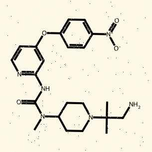 CN(C(=O)Nc1cc(Oc2ccc([N+](=O)[O-])cc2)ccn1)C1CCN(C(C)(C)CN)CC1